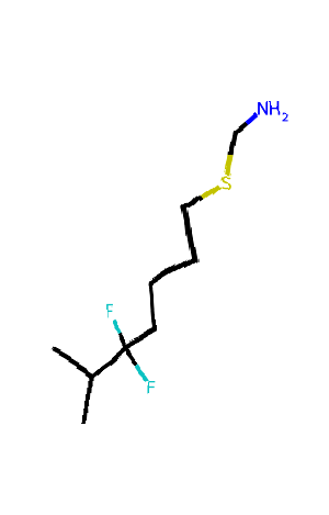 CC(C)C(F)(F)CCCCSCN